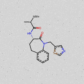 CNC(C)C(=O)N[C@H]1CCc2ccccc2N(Cc2cncs2)C1=O